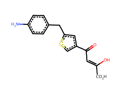 Nc1ccc(Cc2cc(C(=O)C=C(O)C(=O)O)cs2)cc1